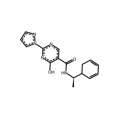 C[C@@H](NC(=O)c1cnc(-n2cccn2)nc1O)C1C=CC=CC1